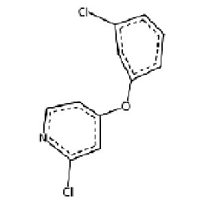 Clc1cccc(Oc2ccnc(Cl)c2)c1